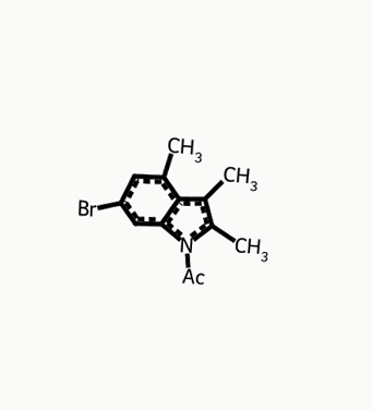 CC(=O)n1c(C)c(C)c2c(C)cc(Br)cc21